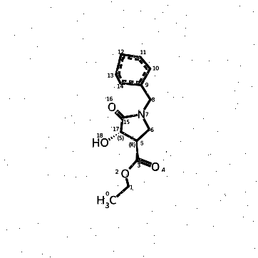 CCOC(=O)[C@@H]1CN(Cc2ccccc2)C(=O)[C@H]1O